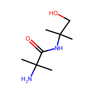 CC(C)(CO)NC(=O)C(C)(C)N